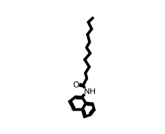 CCCCCCCCCCCC(=O)Nc1cc[c]c2ccccc12